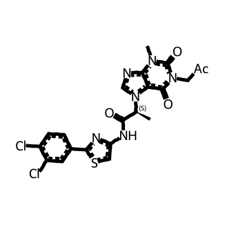 CC(=O)Cn1c(=O)c2c(ncn2[C@@H](C)C(=O)Nc2csc(-c3ccc(Cl)c(Cl)c3)n2)n(C)c1=O